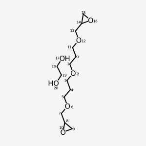 C(COCCCOCC1CO1)COCC1CO1.OCCO